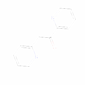 O=C(Cc1ccccn1)c1ccccn1